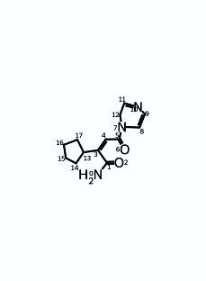 NC(=O)C(=CC(=O)N1C=CN=CC1)C1CCCC1